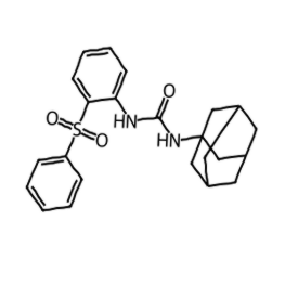 O=C(Nc1ccccc1S(=O)(=O)c1ccccc1)NC12CC3CC(CC(C3)C1)C2